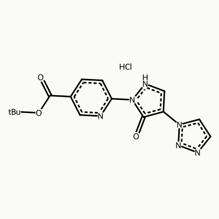 CC(C)(C)OC(=O)c1ccc(-n2[nH]cc(-n3ccnn3)c2=O)nc1.Cl